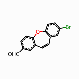 O=Cc1ccc2c(c1)C=Cc1cc(Br)ccc1O2